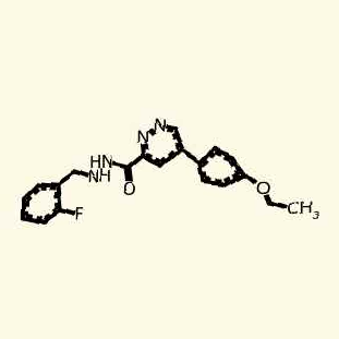 CCOc1ccc(-c2cnnc(C(=O)NNCc3ccccc3F)c2)cc1